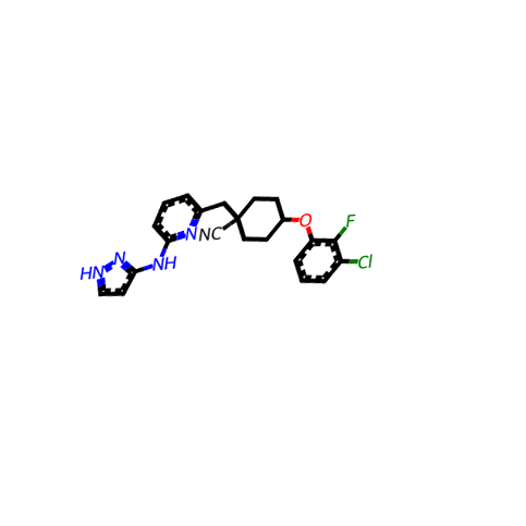 N#CC1(Cc2cccc(Nc3cc[nH]n3)n2)CCC(Oc2cccc(Cl)c2F)CC1